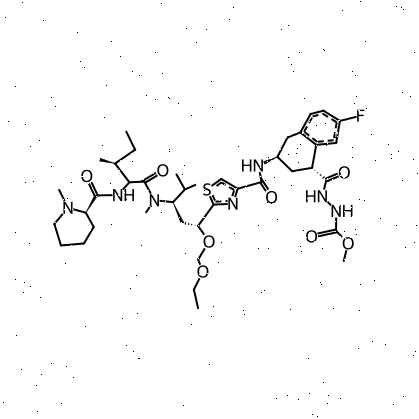 CCOCO[C@H](C[C@H](C(C)C)N(C)C(=O)C(NC(=O)[C@H]1CCCCN1C)[C@@H](C)CC)c1nc(C(=O)N[C@H]2Cc3ccc(F)cc3[C@H](C(=O)NNC(=O)OC)C2)cs1